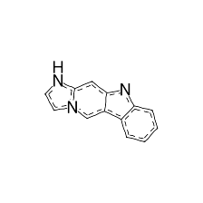 c1ccc2c3cn4cc[nH]c4cc-3nc2c1